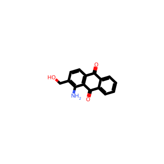 Nc1c(CO)ccc2c1C(=O)c1ccccc1C2=O